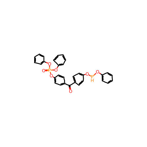 O=C(c1ccc(OPOc2ccccc2)cc1)c1ccc(OP(=O)(Oc2ccccc2)Oc2ccccc2)cc1